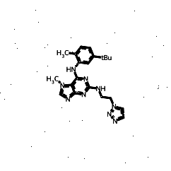 Cc1ccc(C(C)(C)C)cc1Nc1nc(NCCn2ccnn2)nc2ncn(C)c12